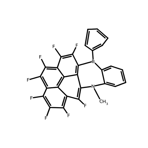 CN1c2ccccc2B(c2ccccc2)c2c(F)c(F)c3c(F)c(F)c4c(F)c(F)c(F)c5c(F)c1c2c3c45